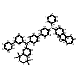 CC1(C)CCC(C)(C)c2cc(N(c3ccc(-c4ccc(N(c5ccccc5)c5ccc6c(c5)oc5ccccc56)cc4)cc3)c3cccc(-c4ccccc4)c3)ccc21